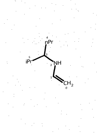 C=CNC(CCC)C(C)C